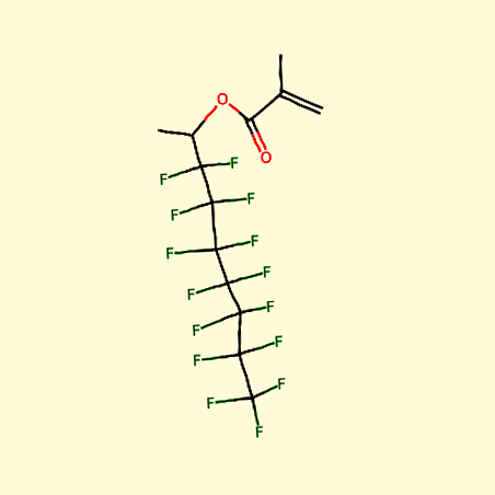 C=C(C)C(=O)OC(C)C(F)(F)C(F)(F)C(F)(F)C(F)(F)C(F)(F)C(F)(F)C(F)(F)F